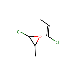 CC1OC1Cl.CC=CCl